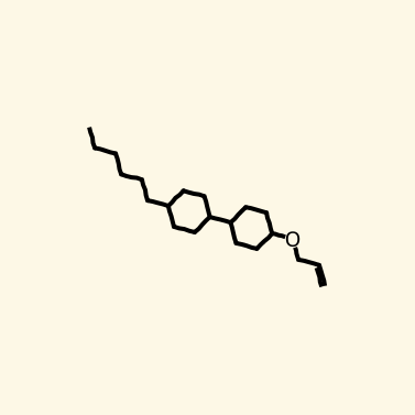 C=CCOC1CCC(C2CCC(CCCCCC)CC2)CC1